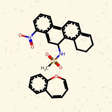 C1=COc2ccccc2C=C1.CS(=O)(=O)NC1C=c2c([N+](=O)[O-])cccc2=c2ccc3c(c21)CCCC=3